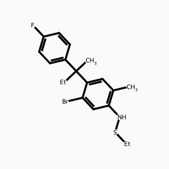 CCSNc1cc(Br)c(C(C)(CC)c2ccc(F)cc2)cc1C